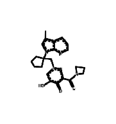 Cc1cn(C2(Cn3cc(O)c(=O)c(C(=O)N4CCC4)n3)CCCC2)c2ncccc12